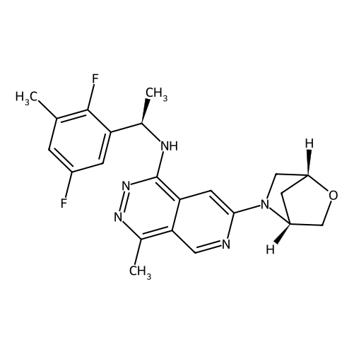 Cc1cc(F)cc([C@@H](C)Nc2nnc(C)c3cnc(N4C[C@H]5C[C@@H]4CO5)cc23)c1F